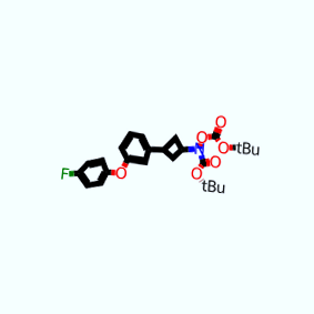 CC(C)(C)OC(=O)ON(C(=O)OC(C)(C)C)C1CC(c2cccc(Oc3ccc(F)cc3)c2)C1